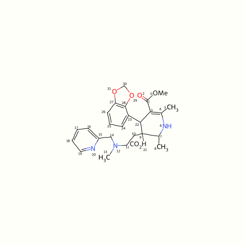 COC(=O)C1=C(C)NC(C)C(CCN(C)Cc2ccccn2)(C(=O)O)C1c1cccc2c1OCO2